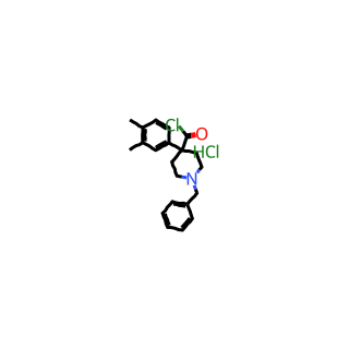 Cc1ccc(C2(C(=O)Cl)CCN(Cc3ccccc3)CC2)cc1C.Cl